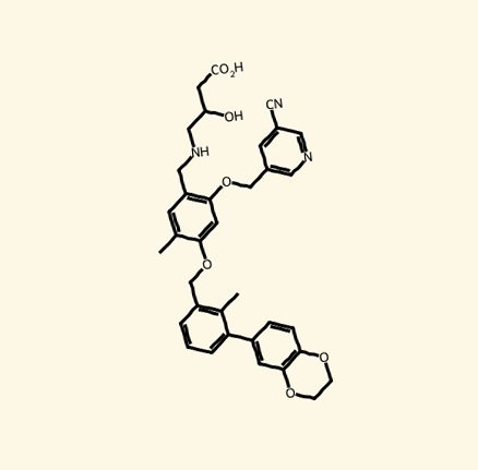 Cc1cc(CNCC(O)CC(=O)O)c(OCc2cncc(C#N)c2)cc1OCc1cccc(-c2ccc3c(c2)OCCO3)c1C